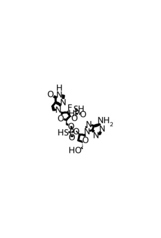 Nc1ncnc2c1ncn2[C@@H]1O[C@H](CO)C[C@H]1OP(=O)(S)OC[C@H]1O[C@@H](n2ccc3c(=O)[nH]cnc32)[C@@H](F)[C@@H]1O[PH](=O)S